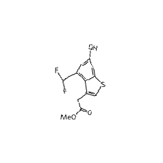 COC(=O)Cc1csc2cc(O)cc(C(F)F)c12